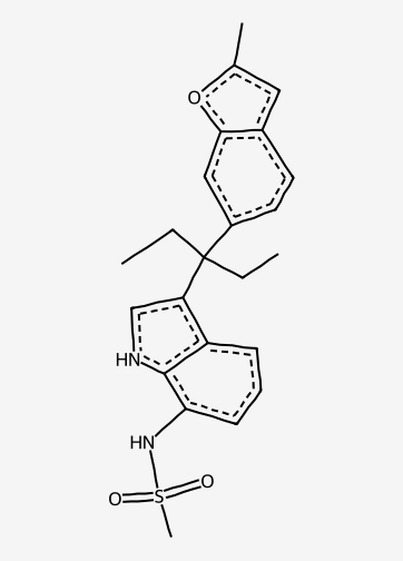 CCC(CC)(c1ccc2cc(C)oc2c1)c1c[nH]c2c(NS(C)(=O)=O)cccc12